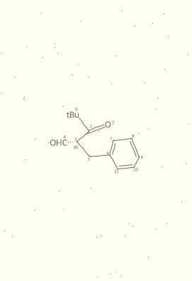 CC(C)(C)C(=O)[C@@H]([C]=O)Cc1ccccc1